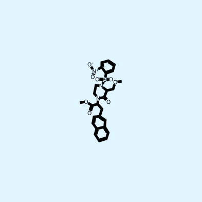 COCC1C(=O)N(C(Cc2ccc3ccccc3c2)C(=O)OC)CCN1S(=O)(=O)c1ccccc1[N+](=O)[O-]